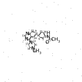 CC(=O)Nc1ccc(-c2ccc3ncnc(N4CCN(C)CC4)c3c2)cc1